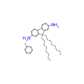 CCCCCCCCC1(CCCCCCCC)c2cc(N)ccc2-c2ccc(N)cc21.Cc1ccccc1